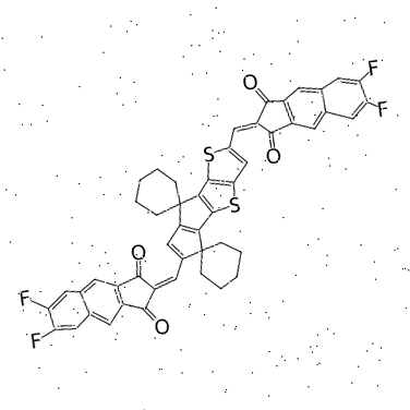 O=C1C(=CC2=CC3=C(c4sc5cc(C=C6C(=O)c7cc8cc(F)c(F)cc8cc7C6=O)sc5c4C34CCCCC4)C23CCCCC3)C(=O)c2cc3cc(F)c(F)cc3cc21